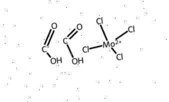 O=[C-]O.O=[C-]O.[Cl][Mo+2]([Cl])([Cl])[Cl]